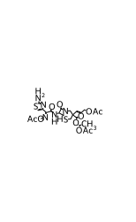 CC(=O)OCC=CC1(C(=O)OC(C)OC(C)=O)CS[C@@H]2C(NC(=O)C(=NOC(C)=O)c3csc(N)n3)C(=O)N2C1